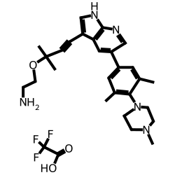 Cc1cc(-c2cnc3[nH]cc(C#CC(C)(C)OCCN)c3c2)cc(C)c1N1CCN(C)CC1.O=C(O)C(F)(F)F